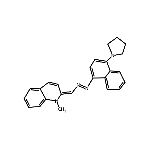 CN1/C(=C/N=N/c2ccc(N3CCCC3)c3ccccc23)C=Cc2ccccc21